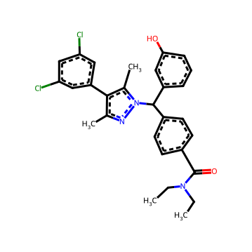 CCN(CC)C(=O)c1ccc(C(c2cccc(O)c2)n2nc(C)c(-c3cc(Cl)cc(Cl)c3)c2C)cc1